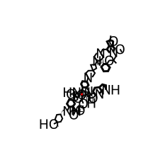 COc1ncc(CN2CCN(C3CC4(CCN(c5ccc(C(=O)NS(=O)(=O)c6ccc(NC[C@H]7CC[C@](C)(O)CC7)c([N+](=O)[O-])c6)c(N6c7cc8cc[nH]c8nc7O[C@H]7COCC[C@@H]76)c5)CC4)C3)[C@@H](c3ccccc3OC(C)C)C2)c2cc(C)oc12